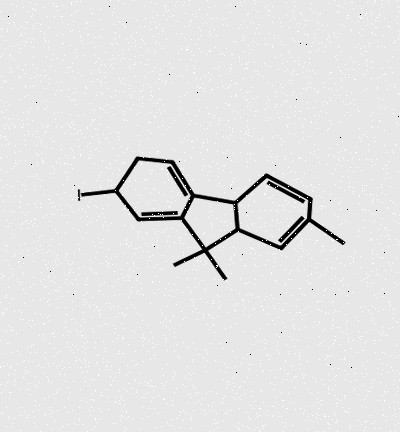 CC1=CC2C(C=C1)C1=CCC(I)C=C1C2(C)C